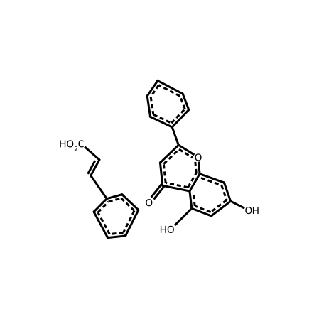 O=C(O)/C=C/c1ccccc1.O=c1cc(-c2ccccc2)oc2cc(O)cc(O)c12